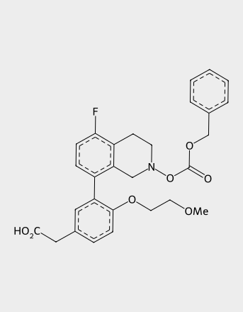 COCCOc1ccc(CC(=O)O)cc1-c1ccc(F)c2c1CN(OC(=O)OCc1ccccc1)CC2